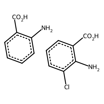 Nc1c(Cl)cccc1C(=O)O.Nc1ccccc1C(=O)O